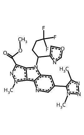 COC(=O)c1nn(C)c2c3ncc(-c4c(C)nnn4C)cc3n(C(CCC(F)(F)F)c3cocn3)c12